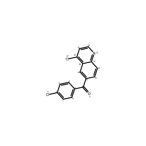 O=C(c1ccc(Cl)cc1)c1ccc2nccc(Cl)c2c1